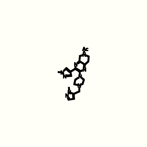 CC(=O)N1CCc2nc(N3CCN(Cc4ccnn4C)CC3)c(-c3cnn(C)c3)nc2C1